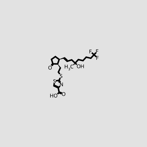 C[C@@](O)(C/C=C/[C@@H]1CCC(=O)[C@@H]1CCSc1nc(C(=O)O)cs1)CCCCC(F)(F)F